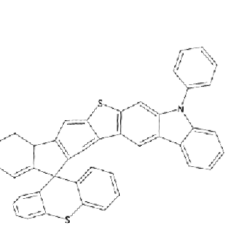 C1=CCC2C(=C1)C1(c3ccccc3Sc3ccccc31)c1cc3c(cc12)sc1cc2c(cc13)c1ccccc1n2-c1ccccc1